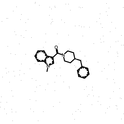 Cn1cc(C(=O)N2CCC(Cc3ccccc3)CC2)c2ccccc21